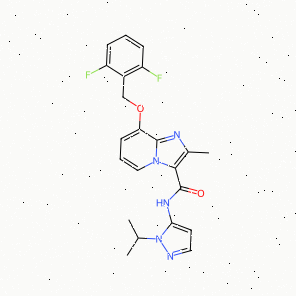 Cc1nc2c(OCc3c(F)cccc3F)cccn2c1C(=O)Nc1ccnn1C(C)C